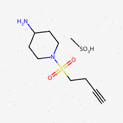 C#CCCS(=O)(=O)N1CCC(N)CC1.CS(=O)(=O)O